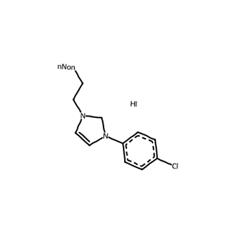 CCCCCCCCCCCN1C=CN(c2ccc(Cl)cc2)C1.I